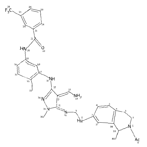 CC(=O)N1CCc2ccc(NC/N=C3\C(=C/N)C(Nc4cc(NC(=O)c5cccc(C(F)(F)F)c5)ccc4C)=NN3C)cc2C1C